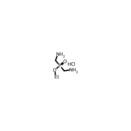 CCOP(=O)(CN)CN.Cl